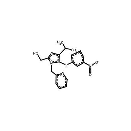 CC(C)c1nc(CO)n(Cc2ccccn2)c1Sc1cccc([N+](=O)[O-])c1